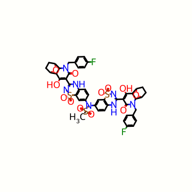 CS(=O)(=O)N(c1ccc2c(c1)S(=O)(=O)N=C(C1=C(O)C3C4CCC(O4)C3N(Cc3ccc(F)cc3)C1=O)N2)c1ccc2c(c1)S(=O)(=O)N=C(C1=C(O)C3C4CCC(O4)C3N(Cc3ccc(F)cc3)C1=O)N2